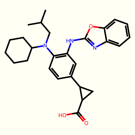 CC(C)CN(c1ccc(C2CC2C(=O)O)cc1Nc1nc2ccccc2o1)C1CCCCC1